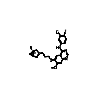 COc1cc2ncnc(Nc3ccc(F)c(Cl)c3)c2cc1OCCCN1CC2C[C@H]2C1